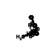 CCCCCC(=O)NS(=O)(=O)c1ccccc1NC(=O)c1ccc(C#Cc2ccccc2)c(C(F)(F)F)c1